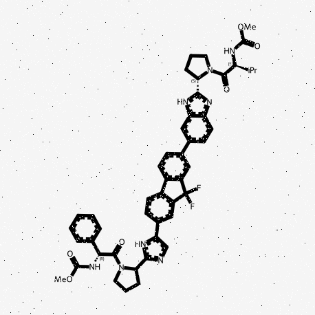 COC(=O)N[C@H](C(=O)N1CCC[C@H]1c1nc2ccc(-c3ccc4c(c3)C(F)(F)c3cc(-c5cnc(C6CCCN6C(=O)[C@H](NC(=O)OC)c6ccccc6)[nH]5)ccc3-4)cc2[nH]1)C(C)C